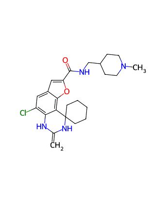 C=C1Nc2c(Cl)cc3cc(C(=O)NCC4CCN(C)CC4)oc3c2C2(CCCCC2)N1